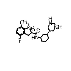 Cc1ccc(F)c2c1NC(C(=O)N[C@@H]1CCC[C@H](C3CNCNC3)C1)C2